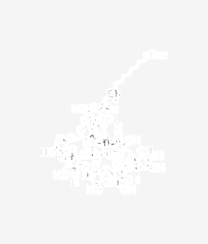 CCCCCCCCCCCCCCCCCCn1cc(CN(C(C)=O)[C@@H]2O[C@@H](O)[C@@H](O[C@@H]3OC(CO[C@H]4OC[C@@H](O)[C@H](O)C4O[C@@H]4OC(CO)[C@H](O)[C@H](O)C4O)[C@@H](O[C@@H]4O[C@@H](CO[C@@H]5OC[C@H](O)C(O)C5O[C@@H]5OC(CO)[C@H](O)[C@H](O)C5O)[C@@H](O[C@@H]5OC(CO[C@H]6OC[C@@H](O)[C@H](O)C6O)[C@@H](O)[C@H](O)C5O)C(O)C4O)[C@H](O)C3O)C(O)C2O)nn1